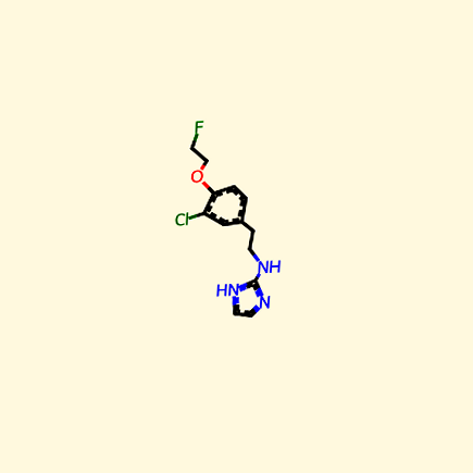 FCCOc1ccc(CCNc2ncc[nH]2)cc1Cl